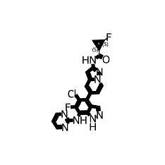 O=C(Nc1cc2cc(-c3c(Cl)c(F)c(Nc4ncccn4)c4[nH]ncc34)ccn2n1)[C@@H]1C[C@@H]1F